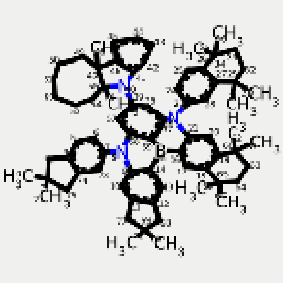 CC1(C)Cc2ccc(N3c4cc5c(cc4B4c6cc7c(cc6N(c6ccc8c(c6)C(C)(C)CCC8(C)C)c6cc(N8c9ccccc9C9(C)CCCCCCC89C)cc3c64)C(C)(C)CCC7(C)C)CC(C)(C)C5)cc2C1